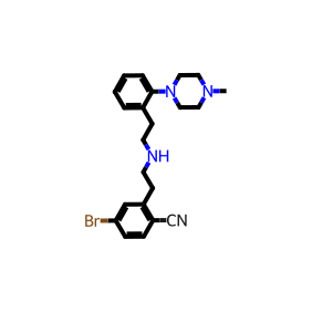 CN1CCN(c2ccccc2CCNCCc2cc(Br)ccc2C#N)CC1